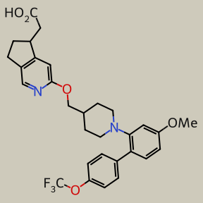 COc1ccc(-c2ccc(OC(F)(F)F)cc2)c(N2CCC(COc3cc4c(cn3)CCC4CC(=O)O)CC2)c1